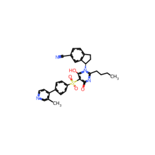 CCCCc1nc(=O)c(S(=O)(=O)c2ccc(-c3ccncc3C)cc2)c(O)n1[C@@H]1CCc2ccc(C#N)cc21